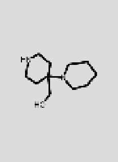 OCC1(N2CCCCC2)CCNCC1